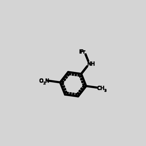 Cc1ccc([N+](=O)[O-])cc1NC(C)C